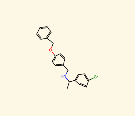 CC(NCc1ccc(OCc2ccccc2)cc1)c1ccc(Br)cc1